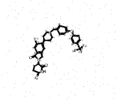 O=C1CCC(N2Cc3cc(C4CCN(Cc5ccc(Oc6ccc(C(F)(F)F)cc6)cc5)CC4)c(F)cc3C2=O)C(=O)N1